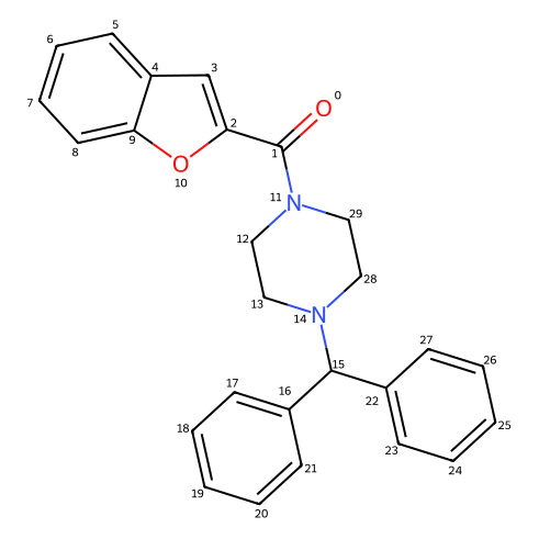 O=C(c1cc2ccccc2o1)N1CCN(C(c2ccccc2)c2ccccc2)CC1